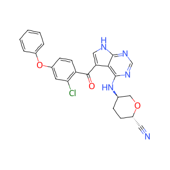 N#C[C@@H]1CC[C@@H](Nc2ncnc3[nH]cc(C(=O)c4ccc(Oc5ccccc5)cc4Cl)c23)CO1